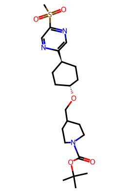 CC(C)(C)OC(=O)N1CCC(CO[C@H]2CC[C@H](c3cnc(S(C)(=O)=O)cn3)CC2)CC1